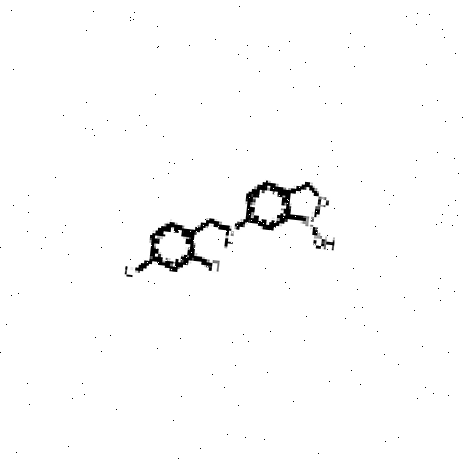 OB1OCc2ccc(NCc3ccc(Cl)cc3Cl)cc21